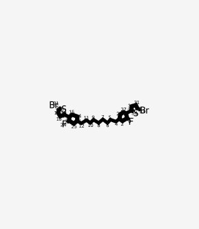 Fc1cc(CCCCCCCCCc2ccc(-c3ccc(Br)s3)c(F)c2)ccc1-c1ccc(Br)s1